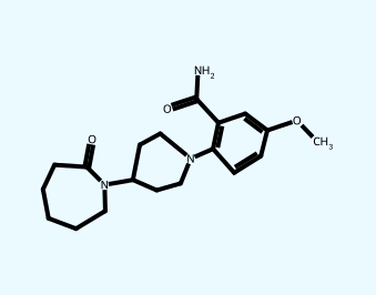 COc1ccc(N2CCC(N3CCCCCC3=O)CC2)c(C(N)=O)c1